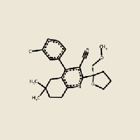 COC[C@]1(c2nc3c(c(-c4cccc(Cl)c4)c2C#N)CC(C)(C)CC3)CCCO1